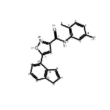 Cc1ccc(Cl)cc1NC(=O)c1cc(-c2cccc3c2C=CC3)on1